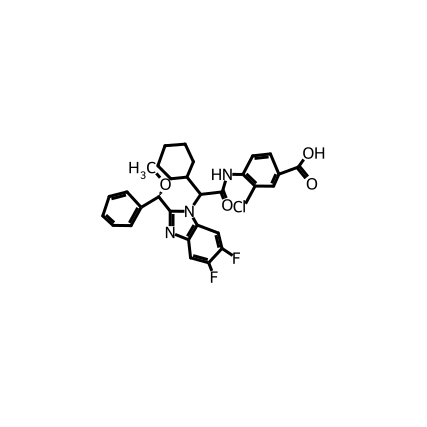 CO[C@@H](c1ccccc1)c1nc2cc(F)c(F)cc2n1C(C(=O)Nc1ccc(C(=O)O)cc1Cl)C1CCCCC1